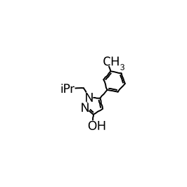 Cc1cccc(-c2cc(O)nn2CC(C)C)c1